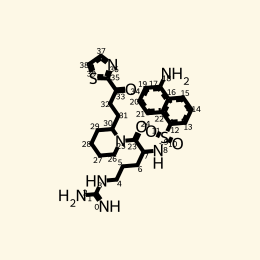 N=C(N)NCCCC(NS(=O)(=O)c1cccc2c(N)cccc12)C(=O)N1CCCCC1CCC(=O)c1nccs1